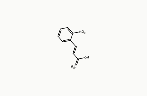 C=C(O)/C=C/c1ccccc1[N+](=O)[O-]